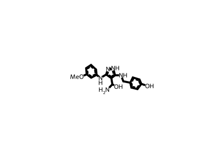 COc1cccc(Nc2n[nH]c(NCc3ccc(O)cc3)c2C(N)O)c1